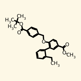 CCc1ccccc1-c1cc(C(=O)OC)ccc1OCc1ccc(C(=O)OC(C)(C)C)cc1